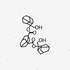 O=C(OC1(CO)C2CC3CC(C2)CC1C3)C12CC3CC(C1)CC(C(=O)OC1(CO)C4CC5CC(C4)CC1C5)(C3)C2